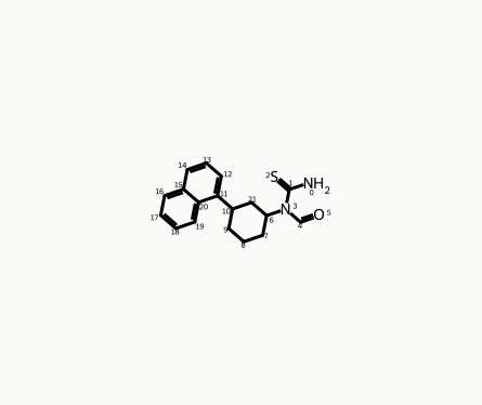 NC(=S)N(C=O)C1CCCC(c2cccc3ccccc23)C1